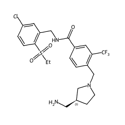 CCS(=O)(=O)c1ccc(Cl)cc1CNC(=O)c1ccc(CN2CC[C@@H](CN)C2)c(C(F)(F)F)c1